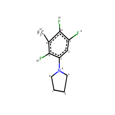 Fc1cc(N2CCCC2)c(F)c(C(F)(F)F)c1F